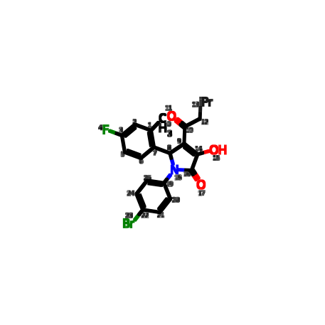 Cc1cc(F)ccc1C1C(C(=O)CC(C)C)=C(O)C(=O)N1c1ccc(Br)cc1